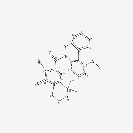 COc1ncccc1-c1ccccc1CNC(=O)c1nc2n(c(=O)c1O)CCOC2(C)C